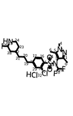 Cc1nn(C)c(C)c1N(C(F)F)S(=O)(=O)c1ccc(CCCC2CCNC(Cl)C2)cc1Cl.Cl